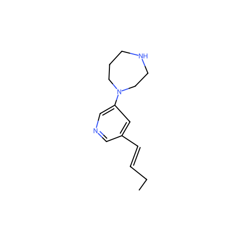 CCC=Cc1cncc(N2CCCNCC2)c1